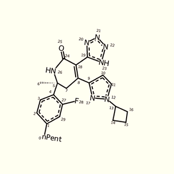 CCCCCc1ccc([C@]2(C)CC(c3ccn(C4CCC4)n3)=C(c3nnn[nH]3)C(=O)N2)c(F)c1